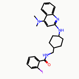 CN(C)c1cc(NC2CCC(CNC(=O)c3ccccc3I)CC2)nc2ccccc12